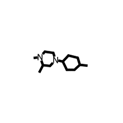 CC1CCC(N2CCN(C)C(C)C2)CC1